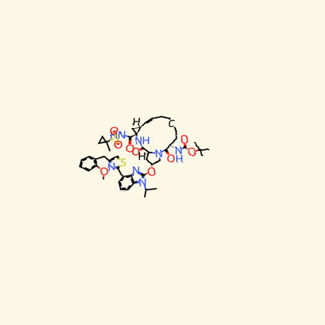 COc1ccccc1Cc1csc(-c2cccc3c2nc(O[C@@H]2C[C@H]4C(=O)N[C@]5(C(=O)NS(=O)(=O)C6(C)CC6)C[C@H]5/C=C\CCCCC[C@H](NC(=O)OC(C)(C)C)C(=O)N4C2)n3C(C)C)n1